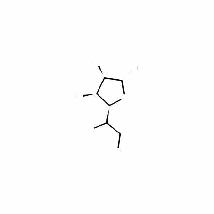 OCC(O)[C@@H]1O[C@@H](O)[C@H](O)[C@@H]1O